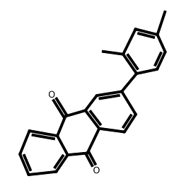 Cc1ccc(-c2ccc3c(c2)C(=O)c2ccccc2C3=O)c(C)c1